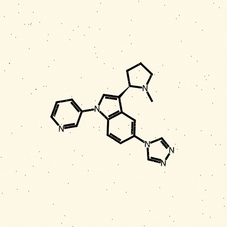 CN1CCC[C@@H]1c1cn(-c2cccnc2)c2ccc(-n3cnnc3)cc12